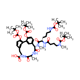 C[C@@H]1NC(=O)[C@@H](N(C)C(=O)[C@H](CCCCNC(=O)OC(C)(C)C)NC(=O)CCCN(C)C(=O)OC(C)(C)C)c2ccc(OC(=O)OC(C)(C)C)c(c2)-c2cc(ccc2OC(=O)OC(C)(C)C)C[C@@H](C(=O)O)NC1=O